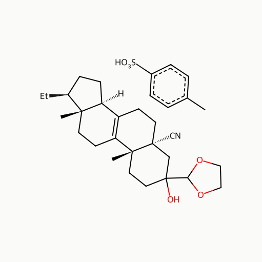 CC[C@H]1CC[C@H]2C3=C(CC[C@]12C)[C@@]1(C)CCC(O)(C2OCCO2)C[C@]1(C#N)CC3.Cc1ccc(S(=O)(=O)O)cc1